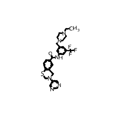 CCN1CCN(Cc2cc(NC(=O)c3ccc4c(c3)CN(c3cncnc3)CS4)cc(C(F)(F)F)c2)CC1